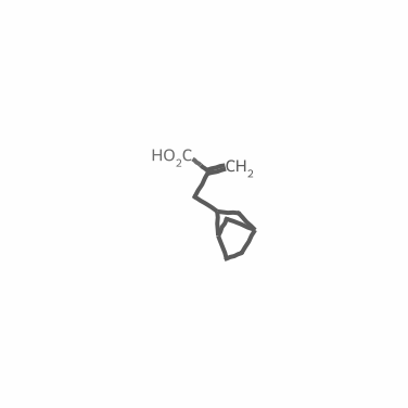 C=C(CC1CC2CCC1C2)C(=O)O